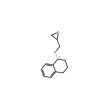 c1ccc2c(c1)CCC[C@H]2OCC1CO1